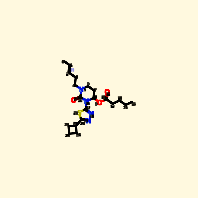 C/C=C/CCN1CCC(OC(=O)CCCC)N(c2nnc(C3CCC3)s2)C1=O